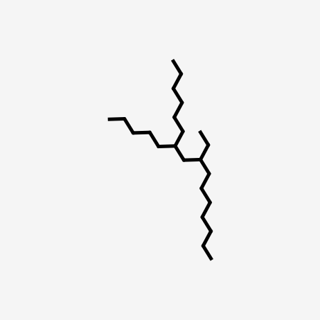 CCCCCCCC(CC)CC(CCCCC)CCCCCC